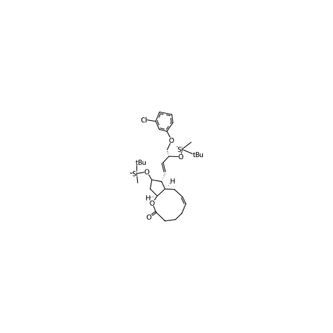 CC(C)(C)[Si](C)(C)OC1C[C@@H]2OC(=O)CCC/C=C\C[C@@H]2[C@H]1/C=C/[C@H](COc1cccc(Cl)c1)O[Si](C)(C)C(C)(C)C